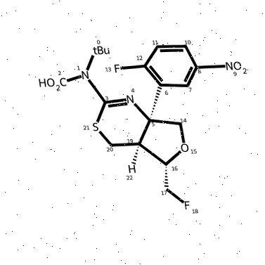 CC(C)(C)N(C(=O)O)C1=N[C@@]2(c3cc([N+](=O)[O-])ccc3F)CO[C@H](CF)[C@H]2CS1